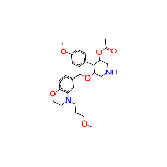 COCCCN1CCOc2ccc(COC3CNCC(OC(C)=O)C3c3ccc(OC)cc3)cc21